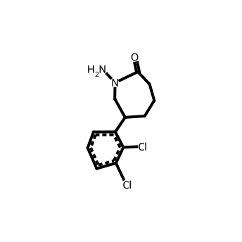 NN1CC(c2cccc(Cl)c2Cl)CCCC1=O